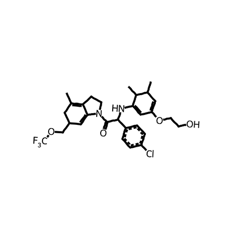 CC1=C2CCN(C(=O)C(NC3=CC(OCCO)=CC(C)C3C)c3ccc(Cl)cc3)C2=CC(COC(F)(F)F)C1